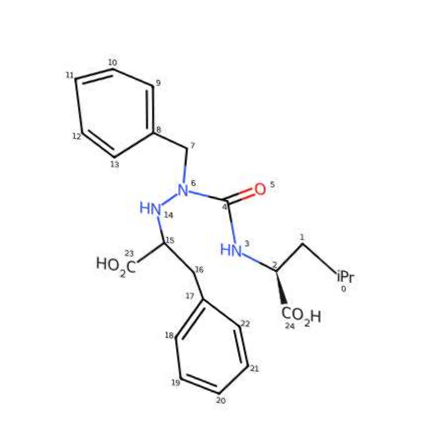 CC(C)C[C@H](NC(=O)N(Cc1ccccc1)NC(Cc1ccccc1)C(=O)O)C(=O)O